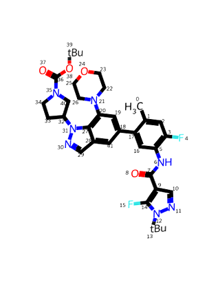 Cc1cc(F)c(NC(=O)c2cnn(C(C)(C)C)c2F)cc1-c1cc(N2CCOCC2)c2c(cnn2C2CCN(C(=O)OC(C)(C)C)C2)c1